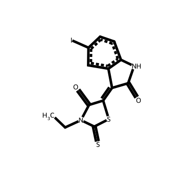 CCN1C(=O)/C(=C2/C(=O)Nc3ccc(I)cc32)SC1=S